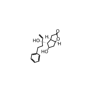 C=C[C@](O)(CCc1ccccc1)[C@@H]1[C@H]2CC(=O)O[C@H]2C[C@H]1O